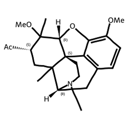 COc1ccc2c3c1O[C@H]1C(C)(OC)[C@@H](C(C)=O)CC4(C)[C@@H](C2)N(C)CC[C@]314